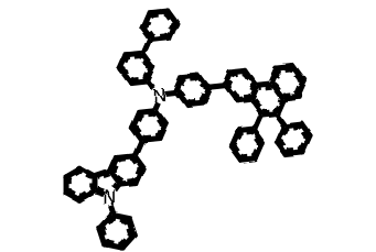 c1ccc(-c2cccc(N(c3ccc(-c4ccc5c(c4)c(-c4ccccc4)c(-c4ccccc4)c4ccccc45)cc3)c3ccc(-c4ccc5c(c4)c4ccccc4n5-c4ccccc4)cc3)c2)cc1